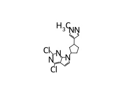 Cn1cc(C2CCC(n3ccc4c(Cl)nc(Cl)nc43)C2)cn1